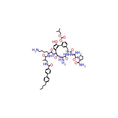 CCCCc1ccc(-c2ccc(C(=O)NC[C@@H](C)C(=O)N[C@@H](CCCCN)C(=O)N(C)[C@@H]3C(=O)N[C@@H](N)C(=O)N[C@H](C(=O)N[C@@H](N)C(=O)N4CCC[C@H]4C(N)=O)Cc4ccc(OC(=O)OCC(C)C)c(c4)-c4cc3ccc4O)cc2)cc1